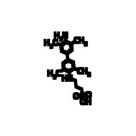 Cc1cc(-c2cc(C)c(NCCCS(=O)(=O)O)c(C)c2)cc(C)c1N